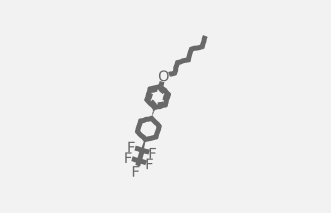 CCCCCCOc1ccc([C@H]2CC[C@H](C(F)(F)C(F)(F)F)CC2)cc1